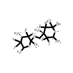 C[C@H]1C(F)(F)C(C(F)(F)F)OC(OC[C@@]2(C)C(F)(F)C(C(F)(F)F)OC(O)(C(F)(F)F)C2(F)F)(C(F)(F)F)C1(F)F